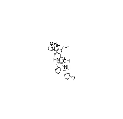 CCCc1cc(C(=O)N[C@@H](Cc2ccccc2)[C@H](O)CNC(C)(C)c2cccc(OC)c2)c(F)c(N2CCCS2(O)O)c1